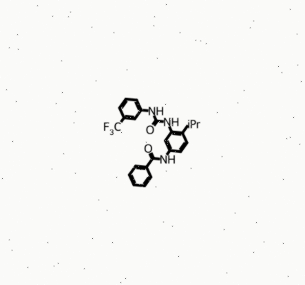 CC(C)c1ccc(NC(=O)c2ccccc2)cc1NC(=O)Nc1cccc(C(F)(F)F)c1